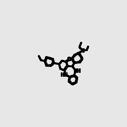 CCc1ccc(C2CC(=O)C3=C(C2)Nc2ccccc2NC3c2ccc(N(CC)CC)cc2)cc1